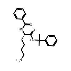 CC(C)(NC(=O)[C@H](CCCCN)NC(=O)c1ccccc1)c1ccccc1